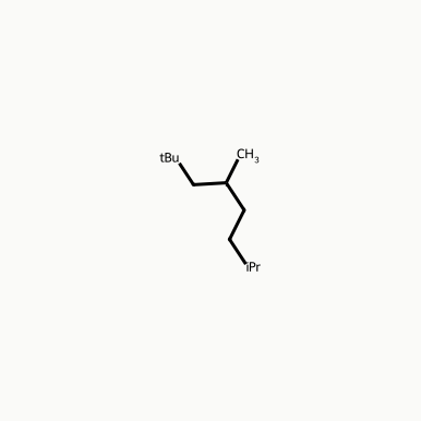 C[C](CCC(C)C)CC(C)(C)C